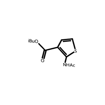 CC(=O)Nc1sccc1C(=O)OCC(C)C